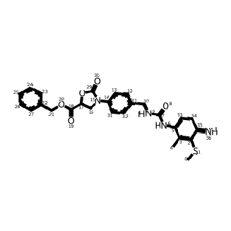 CSC1=C(C)C(NC(=O)NCc2ccc(N3CC(C(=O)OCc4ccccc4)OC3=O)cc2)=CCC1=N